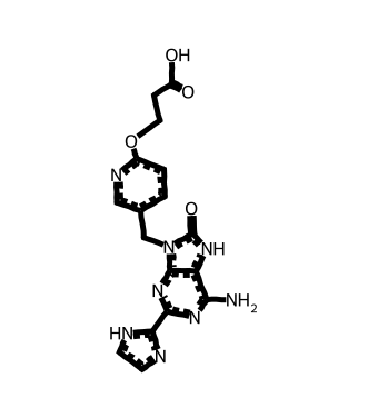 Nc1nc(-c2ncc[nH]2)nc2c1[nH]c(=O)n2Cc1ccc(OCCC(=O)O)nc1